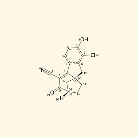 N#CC1=C2c3ccc(O)c(Cl)c3C[C@]23CC[C@@H](C3)C1=O